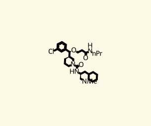 CCCNC(=O)CCO[C@@H](c1cccc(Cl)c1)[C@@H]1CCCN(C(=O)N[C@H](CNC)CC2CCCCC2)C1